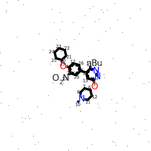 CCCCc1nnc(OC2CCN(C)CC2)cc1-c1ccc(OC2CCCCC2)c([N+](=O)[O-])c1